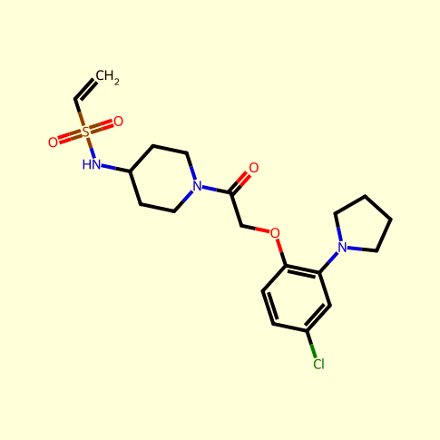 C=CS(=O)(=O)NC1CCN(C(=O)COc2ccc(Cl)cc2N2CCCC2)CC1